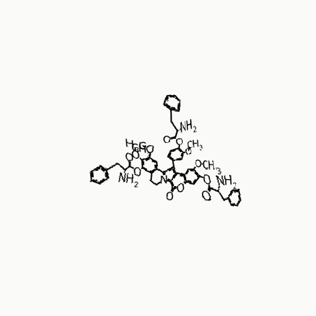 COc1cc(-c2c3n(c4c(=O)oc5cc(OC(=O)[C@@H](N)Cc6ccccc6)c(OC)cc5c24)CCc2c-3cc(OC)c(OC)c2OC(=O)[C@@H](N)Cc2ccccc2)ccc1OC(=O)[C@@H](N)Cc1ccccc1